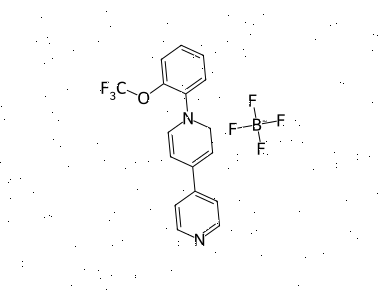 FC(F)(F)Oc1ccccc1N1C=CC(c2ccncc2)=CC1.F[B-](F)(F)F